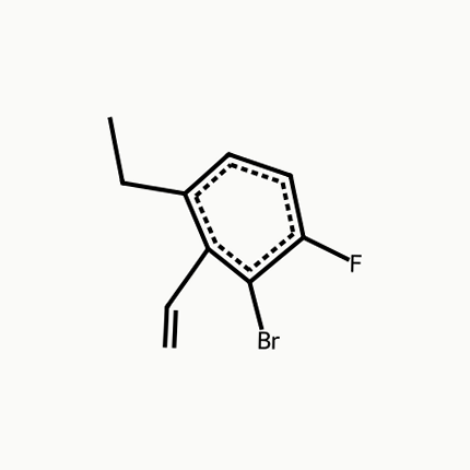 C=Cc1c(CC)ccc(F)c1Br